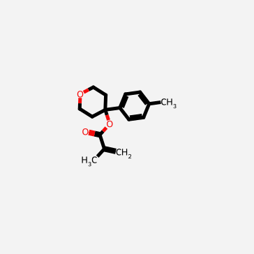 C=C(C)C(=O)OC1(c2ccc(C)cc2)CCOCC1